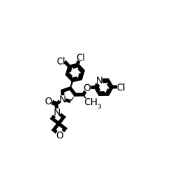 C[C@@H](Oc1ccc(Cl)cn1)[C@@H]1CN(C(=O)N2CC3(COC3)C2)C[C@H]1c1ccc(Cl)c(Cl)c1